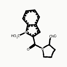 O=CC1CCCN1C(=O)c1cc2ccccc2n1C(=O)O